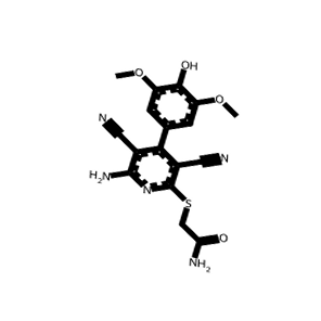 COc1cc(-c2c(C#N)c(N)nc(SCC(N)=O)c2C#N)cc(OC)c1O